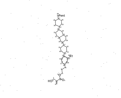 C=C(CO)C(=O)OCCCc1ccc(C2CCC(C3CCC4CC(C5CCC(CCCCC)CC5)CCC4C3)CC2)c(CC)c1